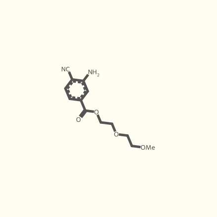 COCCOCCOC(=O)c1ccc(C#N)c(N)c1